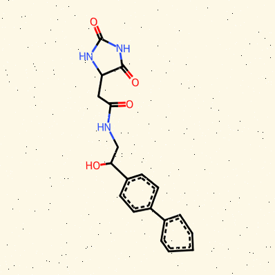 O=C(CC1NC(=O)NC1=O)NCC(O)c1ccc(-c2ccccc2)cc1